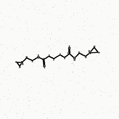 O=C(CCCCC(=O)OCCN1CC1)OCCN1CC1